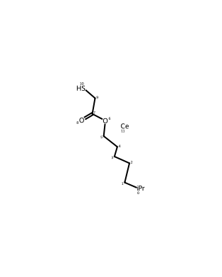 CC(C)CCCCCOC(=O)CS.[Ce]